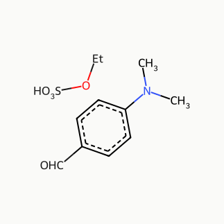 CCOS(=O)(=O)O.CN(C)c1ccc(C=O)cc1